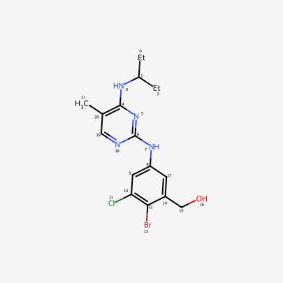 CCC(CC)Nc1nc(Nc2cc(Cl)c(Br)c(CO)c2)ncc1C